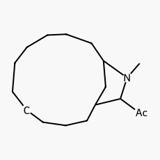 CC(=O)C1C2CCCCCCCCCCC(C2)N1C